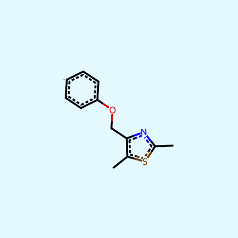 Cc1nc(COc2cc[c]cc2)c(C)s1